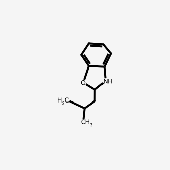 CC(C)CC1Nc2ccccc2O1